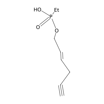 C#CCC=CCOP(=O)(O)CC